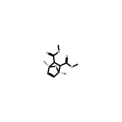 COC(=O)C1C(C(=O)OC)[C@H]2C=C[C@@H]1O2